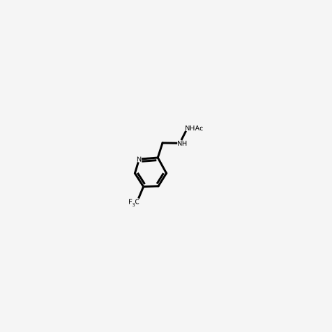 CC(=O)NNCc1ccc(C(F)(F)F)cn1